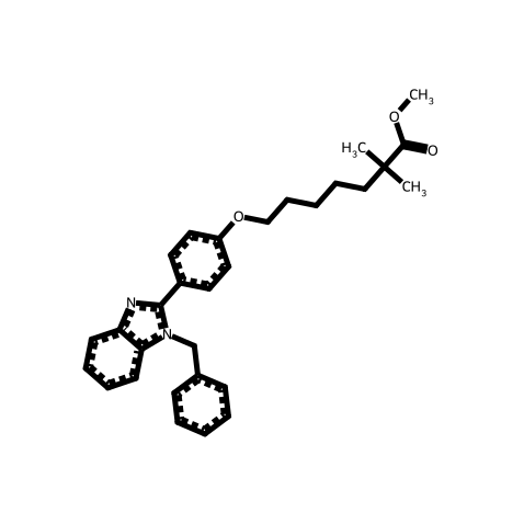 COC(=O)C(C)(C)CCCCCOc1ccc(-c2nc3ccccc3n2Cc2ccccc2)cc1